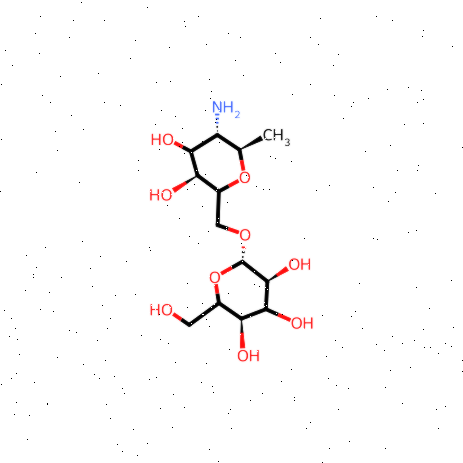 C[C@H]1OC(CO[C@H]2OC(CO)[C@H](O)C(O)[C@@H]2O)[C@@H](O)C(O)[C@@H]1N